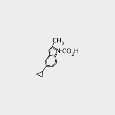 Cc1cc2cc(C3CC3)ccc2n1C(=O)O